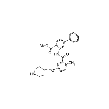 COC(=O)c1ccc(-c2ccccc2)cc1NC(=O)c1cc(OCC2CCNCC2)ccc1C